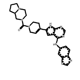 O=C(N1CC=C(c2cc3c(Nc4ccc5ncsc5c4)ncnc3[nH]2)CC1)N1CCN2CCCC2C1